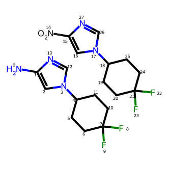 Nc1cn(C2CCC(F)(F)CC2)cn1.O=[N+]([O-])c1cn(C2CCC(F)(F)CC2)cn1